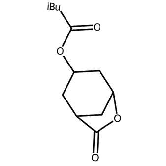 CCC(C)C(=O)OC1CC2CC(C1)C(=O)O2